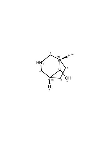 OC1[C@@H]2CC[C@H]1CNC2